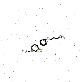 CCCCOc1ccc([C@H]2CC[C@H](CC)CC2=O)cc1